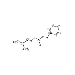 CC(C)SCCC(=O)OCc1ccccc1